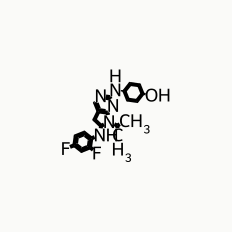 CC(C)N1c2nc(N[C@H]3CC[C@H](O)CC3)ncc2CC1Nc1ccc(F)cc1F